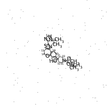 CC(C)n1ncnc1-c1nc2c(s1)CCOc1cc(C3(O)CCN(C(=O)OC(C)(C)C)CC3)ccc1-2